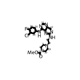 COC(=O)N1CCN(CCNc2ncc3ncnc(Nc4ccc(F)c(Cl)c4)c3n2)CC1